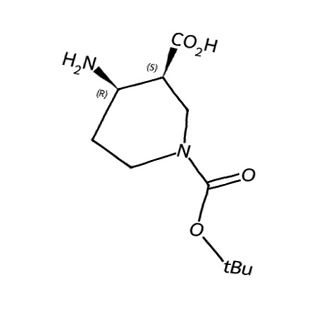 CC(C)(C)OC(=O)N1CC[C@@H](N)[C@@H](C(=O)O)C1